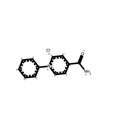 NC(=O)c1cc[n+](-c2ccccc2)cc1.[Cl-]